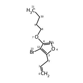 C=CCc1onc(OCCCC)c1Br